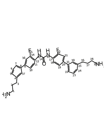 NCCCc1cccc(-c2ccc(NC(=O)Nc3ccc(-c4cccc(CCCN)c4)cc3F)c(F)c2)c1